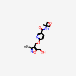 CCCCc1noc(CO)c1COc1ccc(C(=O)NC2(C)COC2)cn1